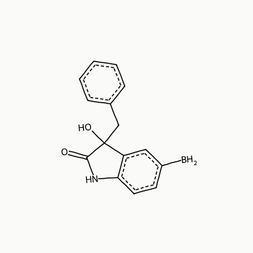 Bc1ccc2c(c1)C(O)(Cc1ccccc1)C(=O)N2